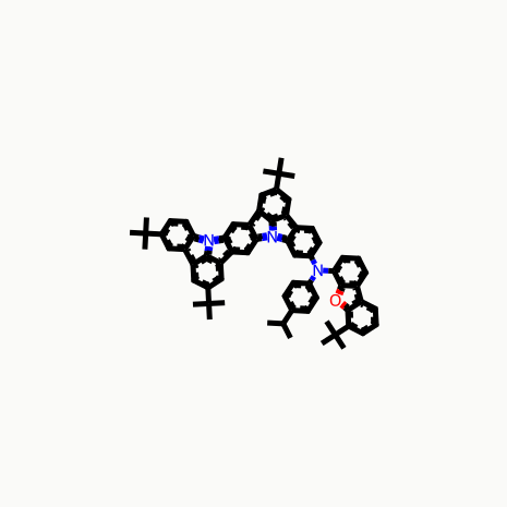 CC(C)c1ccc(N(c2ccc3c4cc(C(C)(C)C)cc5c6cc7c(cc6n(c3c2)c45)c2cc(C(C)(C)C)cc3c4cc(C(C)(C)C)ccc4n7c32)c2cccc3c2oc2c(C(C)(C)C)cccc23)cc1